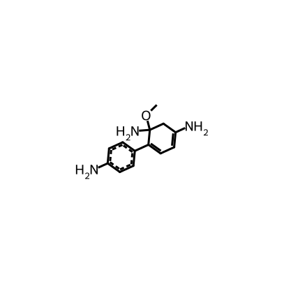 COC1(N)CC(N)=CC=C1c1ccc(N)cc1